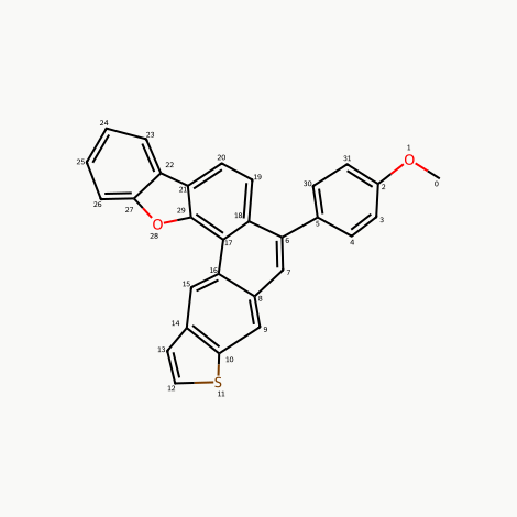 COc1ccc(-c2cc3cc4sccc4cc3c3c2ccc2c4ccccc4oc23)cc1